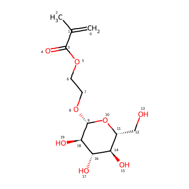 C=C(C)C(=O)OCCO[C@@H]1O[C@H](CO)[C@@H](O)[C@H](O)[C@H]1O